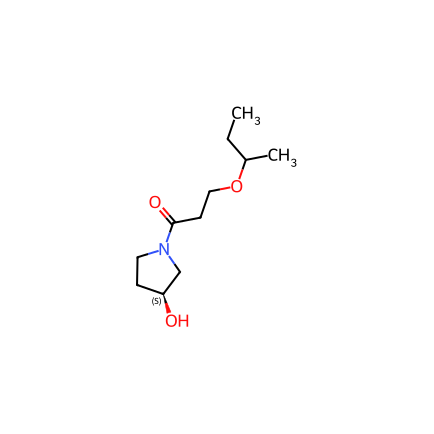 CCC(C)OCCC(=O)N1CC[C@H](O)C1